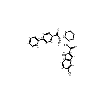 O=C(N[C@H]1CCCC[C@H]1[NH+]([O-])C(=O)c1ccc(-c2ccccn2)cc1)c1cc2cc(Cl)ccc2[nH]1